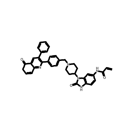 C=CC(=O)Nc1ccc2[nH]c(=O)n(C3CCN(Cc4ccc(-c5nc6c(cc5-c5ccccc5)C(=O)CC=C6)cc4)CC3)c2c1